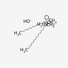 CCCCCCCCCCCCCCCC[N+](C)(C)C(C)(CCCCCCCCCCCCCC)c1ccccc1C.[OH-]